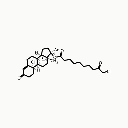 CC(=O)[C@@]1(OC(=O)CCCCCCCC(=O)CCl)CC[C@H]2[C@@H]3CCC4=CC(=O)CC[C@]4(C)[C@H]3CC[C@@]21C